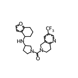 O=C(N1CCc2ncc(C(F)(F)F)cc2C1)N1CCC(NC2CCCc3occc32)C1